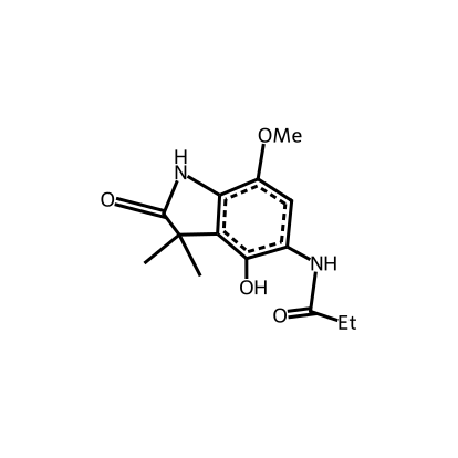 CCC(=O)Nc1cc(OC)c2c(c1O)C(C)(C)C(=O)N2